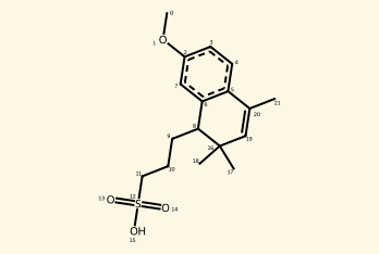 COc1ccc2c(c1)C(CCCS(=O)(=O)O)C(C)(C)C=C2C